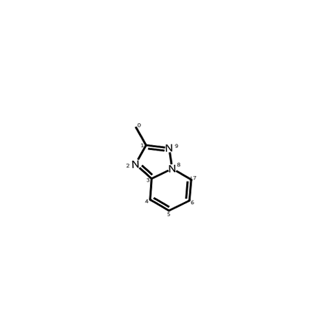 Cc1nc2ccc[c]n2n1